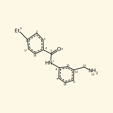 CCc1ccc(C(=O)Nc2cccc(CN)c2)cc1